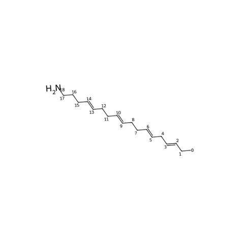 CCC=CCC=CCCC=CCCC=CCCCN